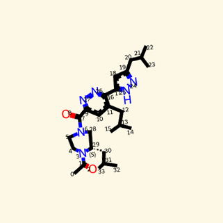 CC(=O)N1CCN(C(=O)c2cc(CC(C)C)c(-c3cc(CC(C)C)n[nH]3)nn2)C[C@@H]1CC(C)C